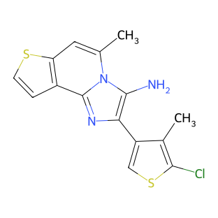 Cc1c(-c2nc3c4ccsc4cc(C)n3c2N)csc1Cl